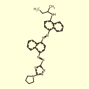 CCC(C)Nc1ccc(/N=N/c2ccc(/N=N/c3nnc(N4CCCC4)s3)c3ccccc23)c2ccccc12